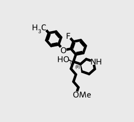 COCCCC[C@@](O)(c1cccc(F)c1Oc1ccc(C)cc1)[C@@H]1CCCNC1